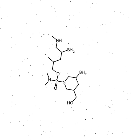 BC(CNC)CC(C)COP(=O)(N(C)C)N1CC(B)CC(CO)C1